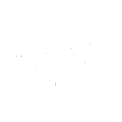 Cc1cc(C(C)(C)C)ccc1Oc1ccc(C(C)(C)C)cc1C(F)(F)F